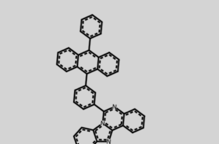 c1ccc(-c2c3ccccc3c(-c3cccc(-c4nc5ccccc5c5nc6ccccc6n45)c3)c3ccccc23)cc1